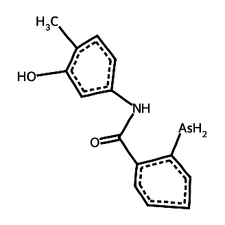 Cc1ccc(NC(=O)c2ccccc2[AsH2])cc1O